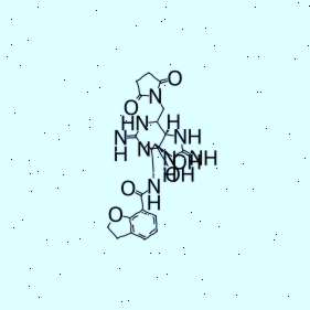 N=C1N[C@H]2C(CN3C(=O)CCC3=O)NC(=N)N3CC(NC(=O)c4cccc5c4OCC5)C(O)(O)[C@]23N1